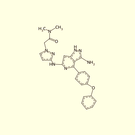 CN(C)C(=O)Cn1ccc(Nc2cc3[nH]nc(N)c3c(-c3ccc(Oc4ccccc4)cc3)n2)n1